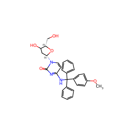 COc1ccc(C(Nc2ccn([C@@H]3CC(O)[C@H](CO)O3)c(=O)n2)(c2ccccc2)c2ccccc2)cc1